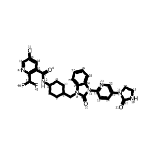 O=C(NC1CCC(Cn2c(=O)n(-c3ccc(N4CCNC4=O)cn3)c3ccccc32)CC1)c1cc(Cl)cnc1C(F)F